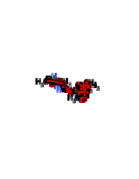 COc1c(C)cc2c(c1O)C(N(C)C)C1C3SC4(NC(CNC(=O)OCc5ccc(NC(=O)C(C)NC(=O)CNC(=O)CCC(C)C)cc5)Cc5c4[nH]c4ccccc54)N4C[C@@H](c5c6c(c(C)c4c53)OCO6)N1CC2